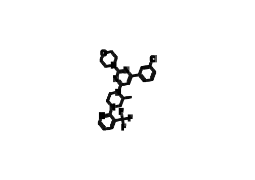 CC1CN(c2ncccc2C(F)(F)F)CCN1c1cc(-c2cccc(Cl)c2)nc(N2CCOCC2)n1